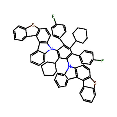 Fc1ccc(-c2c(C3CCCCC3)c(-c3ccc(F)cc3)c(-n3c4ccccc4c4c5c(ccc43)sc3ccccc35)c(C3CCCCC3)c2-n2c3ccccc3c3c4c(ccc32)sc2ccccc24)cc1